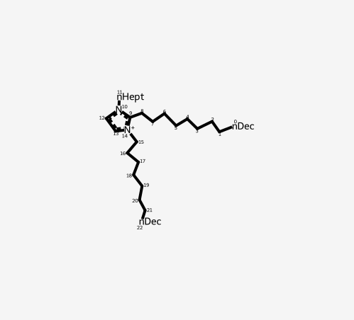 CCCCCCCCCCCCCCCCCCc1n(CCCCCCC)cc[n+]1CCCCCCCCCCCCCCCCC